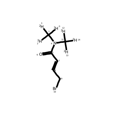 [2H]C([2H])([2H])N(C(=O)/C=C/CBr)C([2H])([2H])[2H]